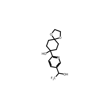 OC(c1ccc(C2(O)CCC3(CC2)OCCO3)nc1)C(F)(F)F